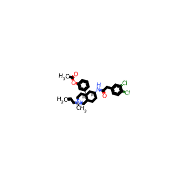 C=CC[N@@+]1(C)CC[C@@]2(c3cccc(OC(C)=O)c3)C[C@H](NC(=O)Cc3ccc(Cl)c(Cl)c3)CCC2C1